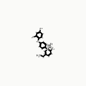 CCS(=O)(=O)[N+]1(c2ccc(Oc3ccc(F)cc3F)cc2)C=C(CN)C=CC1F